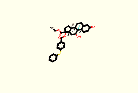 C[C@]12C=CC(=O)C=C1CC[C@H]1[C@@H]3CC[C@@](OC(=O)c4ccc(Sc5ccccc5)cc4)(C(=O)OCC#N)[C@@]3(C)C[C@H](O)C12F